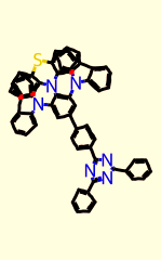 c1ccc(-c2nc(-c3ccccc3)nc(-c3ccc(-c4cc(-n5c6ccccc6c6ccccc65)c(N5c6ccccc6Sc6ccccc65)c(-n5c6ccccc6c6ccccc65)c4)cc3)n2)cc1